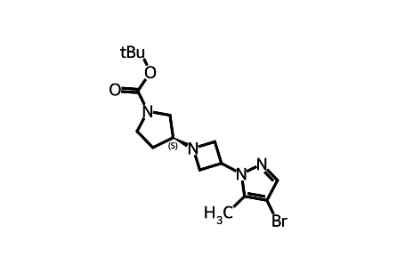 Cc1c(Br)cnn1C1CN([C@H]2CCN(C(=O)OC(C)(C)C)C2)C1